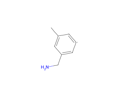 Cc1c[c]cc(CN)c1